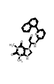 Cn1c2c(c(=O)n(C)c1=O)N(C(C=O)Nc1cccc(-c3cccc4ccccc34)n1)CN2